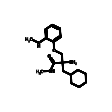 CNC(=O)C(N)(COc1ccccc1NC)CC1CCCCC1